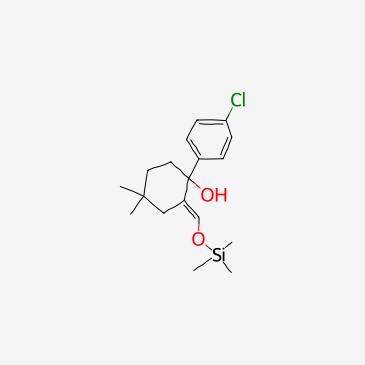 CC1(C)CCC(O)(c2ccc(Cl)cc2)C(=CO[Si](C)(C)C)C1